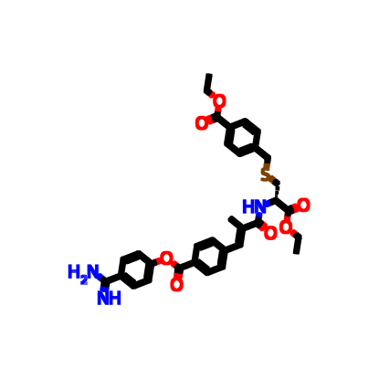 CCOC(=O)c1ccc(CSC[C@@H](NC(=O)/C(C)=C/c2ccc(C(=O)Oc3ccc(C(=N)N)cc3)cc2)C(=O)OCC)cc1